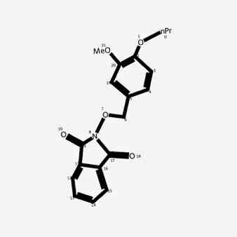 CCCOc1ccc(CON2C(=O)c3ccccc3C2=O)cc1OC